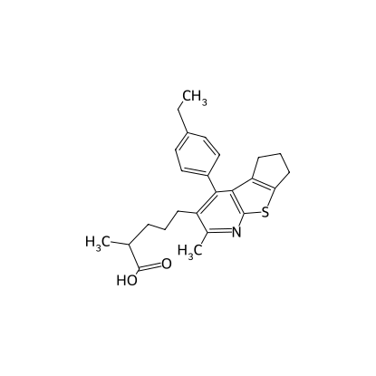 CCc1ccc(-c2c(CCCC(C)C(=O)O)c(C)nc3sc4c(c23)CCC4)cc1